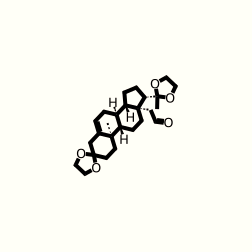 CC1([C@H]2CC[C@H]3[C@@H]4CC=C5CC6(CC[C@]5(C)[C@H]4CC[C@]23CC=O)OCCO6)OCCO1